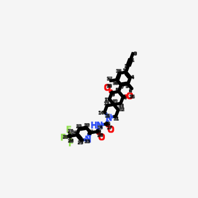 CC#Cc1cc(C)c(C2C(=O)CC3(CCN(C(=O)NC(=O)c4ccc(C(F)(F)F)cn4)CC3)CC2=O)c(C)c1